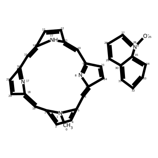 Cn1c2ccc1cc1nc(cc3ccc(cc4nc(c2)C=C4)[nH]3)C=C1.[O-][n+]1cccc2ccccc21